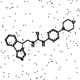 O=C(NCC1c2ccccc2-c2cncn21)Nc1ccc(N2CCOCC2)cc1